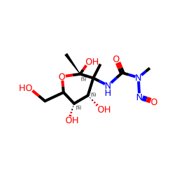 CN(N=O)C(=O)NC1(C)[C@H](O)[C@H](O)C(CO)O[C@]1(C)O